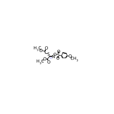 COC(=O)CS/C(=N\OS(=O)(=O)c1ccc(OC)cc1)C(=O)OC